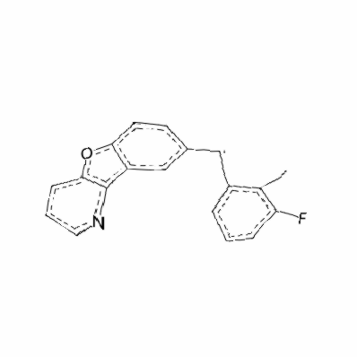 Cc1c(F)cccc1[CH]c1ccc2oc3cccnc3c2c1